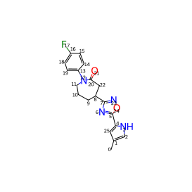 Cc1c[nH]c(-c2nc(C3CCCN(c4ccc(F)cc4)C(=O)C3)no2)c1